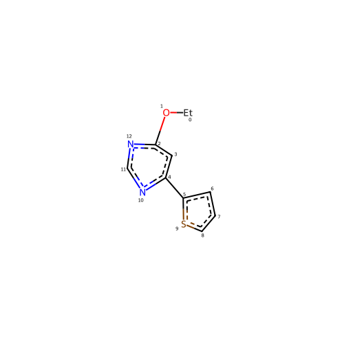 CCOc1cc(-c2cccs2)ncn1